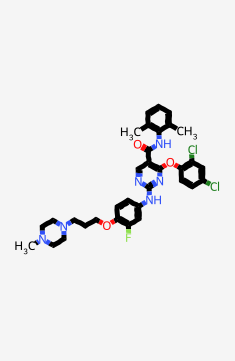 Cc1cccc(C)c1NC(=O)c1cnc(Nc2ccc(OCCCN3CCN(C)CC3)c(F)c2)nc1Oc1ccc(Cl)cc1Cl